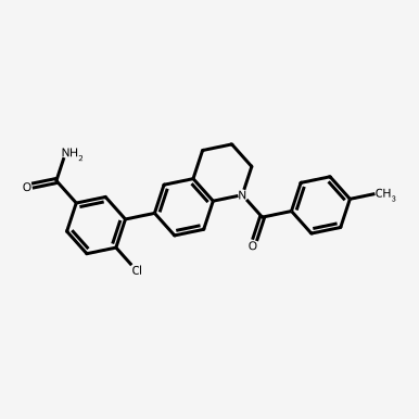 Cc1ccc(C(=O)N2CCCc3cc(-c4cc(C(N)=O)ccc4Cl)ccc32)cc1